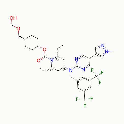 CC[C@@H]1C[C@H](N(Cc2cc(C(F)(F)F)cc(C(F)(F)F)c2)c2ncc(-c3cnn(C)c3)cn2)C[C@H](CC)N1C(=O)O[C@H]1CC[C@H](COCO)CC1